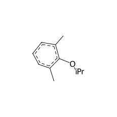 Cc1cccc(C)c1OC(C)C